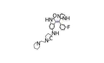 O=C1Nc2ccc(NC3CCN(CCN4CCCCC4)CC3)cc2/C1=C(\c1cccc(F)c1)c1ncc[nH]1